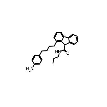 CCCNC(=O)C1c2ccccc2-c2cccc(CCCCc3ccc(N)cc3)c21